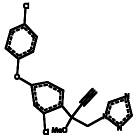 C#CC(Cn1cncn1)(OC)c1ccc(Oc2ccc(Cl)cc2)cc1Cl